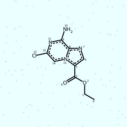 CCOC(=O)c1cnc2c(N)nc(Cl)cn12